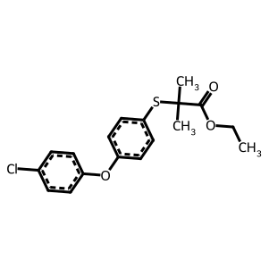 CCOC(=O)C(C)(C)Sc1ccc(Oc2ccc(Cl)cc2)cc1